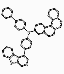 c1ccc(-c2ccc(N(c3ccc(-c4cncc5sc6ccccc6c45)cc3)c3ccc4c(ccc5ccc6ccccc6c54)c3)cc2)cc1